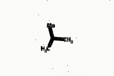 C[CH](C)[Mo]